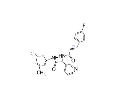 Cc1cc(Cl)cc(NC(=O)C(NC(=O)/C=C/c2ccc(F)cc2)c2cccnc2)c1